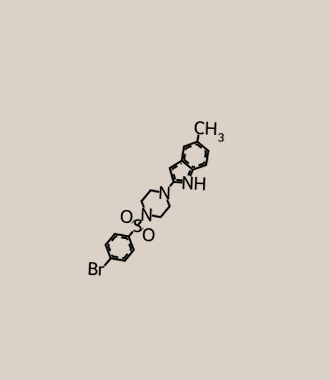 Cc1ccc2[nH]c(N3CCN(S(=O)(=O)c4ccc(Br)cc4)CC3)cc2c1